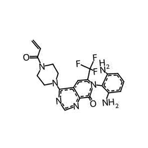 C=CC(=O)N1CCN(c2ncnc3c(=O)n(-c4c(N)cccc4N)c(C(F)(F)F)cc23)CC1